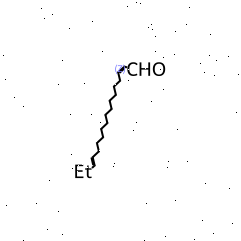 CCC=CCCCCCCCCCCC/C=C\C=O